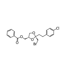 O=C(OC[C@H]1CO[C@](CBr)(CCc2ccc(Cl)cc2)O1)c1ccccc1